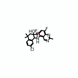 Cc1ncc2c(NC3c4cc(Cl)ccc4C(C)(C)CC3(O)C(F)(F)F)ccc(F)c2n1